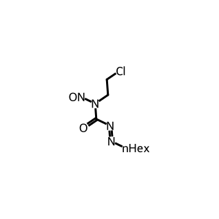 CCCCCCN=NC(=O)N(CCCl)N=O